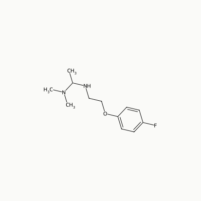 CC(NCCOc1ccc(F)cc1)N(C)C